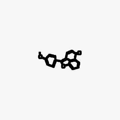 COc1ccc(-c2oc3cccc4c3c2C=CC4=O)cc1